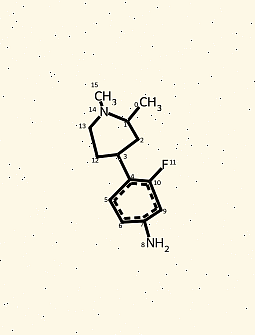 CC1CC(c2ccc(N)cc2F)CCN1C